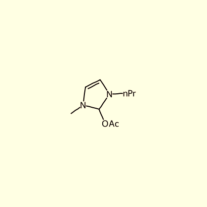 CCCN1C=CN(C)C1OC(C)=O